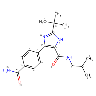 CC(C)CNC(=O)c1[nH]c(C(C)(C)C)nc1-c1ccc(C(N)=O)cc1